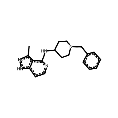 Cc1n[nH]c2ccnc(NC3CCN(Cc4ccccc4)CC3)c12